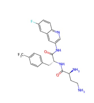 NCC[C@H](N)C(=O)N[C@H](Cc1ccc(C(F)(F)F)cc1)C(=O)Nc1cnc2ccc(F)cc2c1